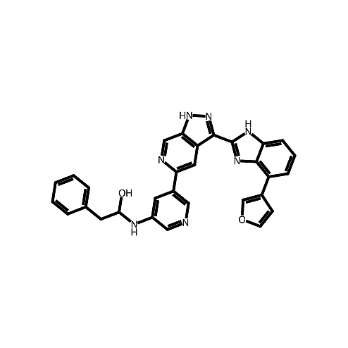 OC(Cc1ccccc1)Nc1cncc(-c2cc3c(-c4nc5c(-c6ccoc6)cccc5[nH]4)n[nH]c3cn2)c1